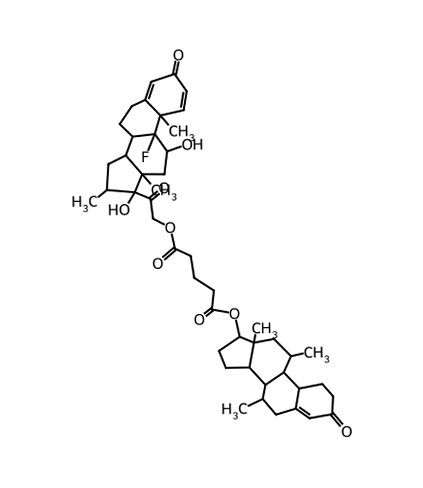 CC1CC2(C)C(OC(=O)CCCC(=O)OCC(=O)C3(O)C(C)CC4C5CCC6=CC(=O)C=CC6(C)C5(F)C(O)CC43C)CCC2C2C(C)CC3=CC(=O)CCC3C12